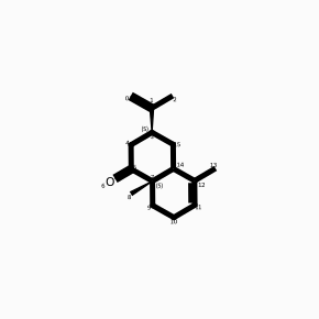 C=C(C)[C@@H]1CC(=O)[C@@]2(C)CCC=C(C)C2C1